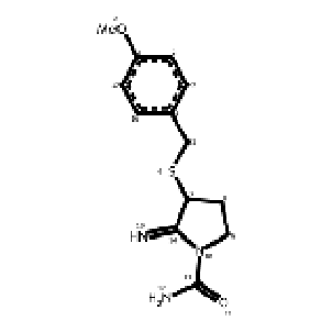 COc1ccc(CSC2CCN(C(N)=O)C2=N)cc1